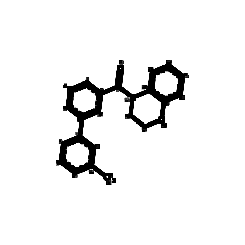 O=C(c1cncc(-c2cccc(C(F)(F)F)c2)c1)N1CCOc2ccccc21